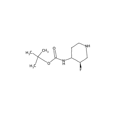 CC(C)(C)OC(=O)NC1CCNC[C@H]1F